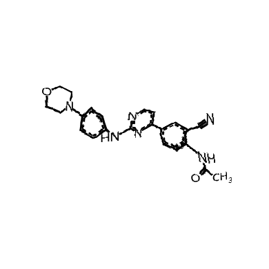 CC(=O)Nc1ccc(-c2ccnc(Nc3ccc(N4CCOCC4)cc3)n2)cc1C#N